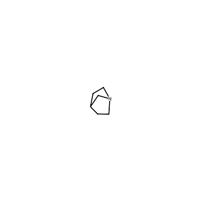 C1CN2CCC1C2